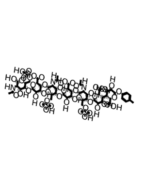 CC(=O)NC1[C@H](O[C@H]2C(C(=O)O)O[C@@H](O[C@@H]3C(COS(=O)(=O)O)O[C@@H](O[C@H]4C(C(=O)O)O[C@@H](O[C@@H]5C(COS(=O)(=O)O)O[C@@H](O)C(NC(C)=O)[C@H]5O)C(O)[C@H]4O)C(NC(C)=O)[C@H]3O)C(O)[C@H]2O)OC(COS(=O)(=O)O)[C@@H](O[C@@H]2OC(C(=O)O)[C@H]([C@@H]3C(C(=O)O)O[C@@H](Oc4ccc(C)cc4)C(O)[C@H]3O)[C@H](O)C2O)[C@@H]1O